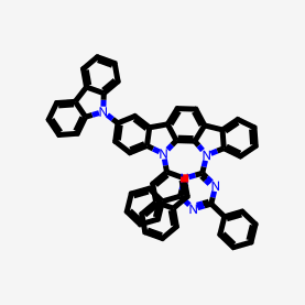 c1ccc(-c2nc(-c3ccccc3)nc(-n3c4ccccc4c4ccc5c6cc(-n7c8ccccc8c8ccccc87)ccc6n(-c6ccc7ccccc7c6)c5c43)n2)cc1